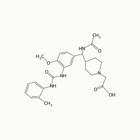 COc1ccc(C(NC(C)=O)C2CCN(CC(=O)O)CC2)cc1NC(=O)Nc1ccccc1C